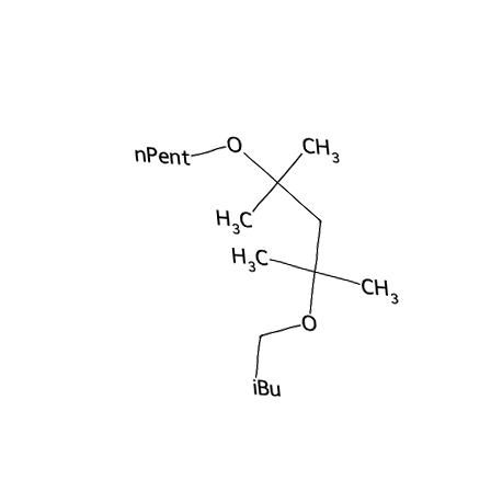 CCCCCOC(C)(C)CC(C)(C)OCC(C)CC